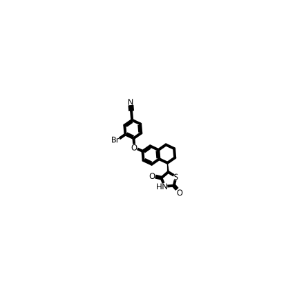 N#Cc1ccc(Oc2ccc3c(c2)CCC[C@H]3C2SC(=O)NC2=O)c(Br)c1